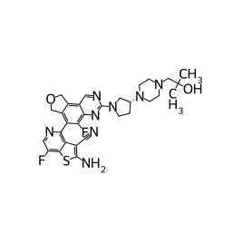 CC(C)(O)CN1CCN([C@@H]2CCN(c3ncc4c5c(c(-c6ncc(F)c7sc(N)c(C#N)c67)c(F)c4n3)COC5)C2)CC1